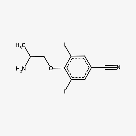 CC(N)COc1c(I)cc(C#N)cc1I